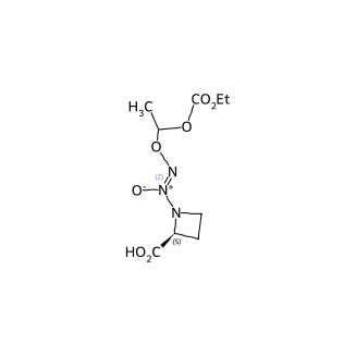 CCOC(=O)OC(C)O/N=[N+](\[O-])N1CC[C@H]1C(=O)O